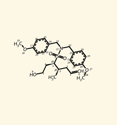 C=CC[C@@H](C)[C@@H](CCO)S(=O)(=O)N(Cc1ccc(OC)cc1)Cc1ccc(OC)cc1